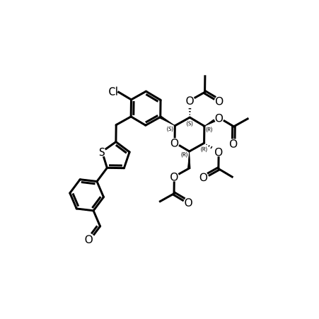 CC(=O)OC[C@H]1O[C@@H](c2ccc(Cl)c(Cc3ccc(-c4cccc(C=O)c4)s3)c2)[C@H](OC(C)=O)[C@@H](OC(C)=O)[C@@H]1OC(C)=O